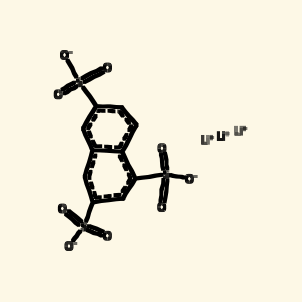 O=S(=O)([O-])c1ccc2c(S(=O)(=O)[O-])cc(S(=O)(=O)[O-])cc2c1.[Li+].[Li+].[Li+]